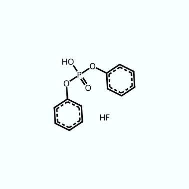 F.O=P(O)(Oc1ccccc1)Oc1ccccc1